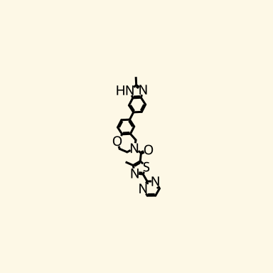 Cc1nc2ccc(-c3ccc4c(c3)CN(C(=O)c3sc(-c5ncccn5)nc3C)CCO4)cc2[nH]1